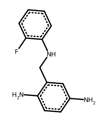 Nc1ccc(N)c(CNc2ccccc2F)c1